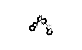 c1ccc(CNc2ccc3ncc(-c4cc5ccccc5s4)n3n2)nc1